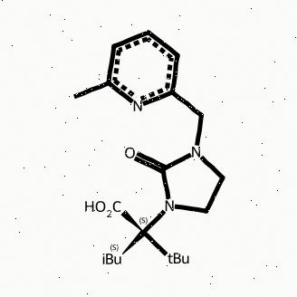 CC[C@H](C)[C@](C(=O)O)(N1CCN(Cc2cccc(C)n2)C1=O)C(C)(C)C